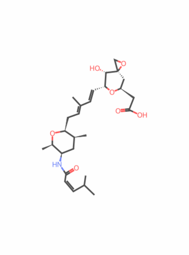 CC(/C=C/[C@H]1O[C@H](CC(=O)O)C[C@@]2(CO2)[C@H]1O)=C\C[C@@H]1O[C@H](C)[C@H](NC(=O)/C=C\C(C)C)C[C@@H]1C